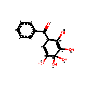 O=C(c1ccccc1)C1C=C(O)C(O)(O)C(O)=C1O